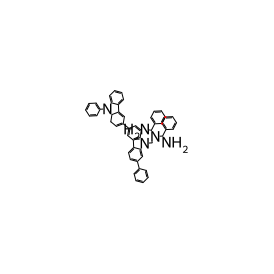 NC(c1ccccc1)N(Cn1c2ccc(C3=CCC4C(=C3)c3ccccc3N4c3ccccc3)cc2c2ccc(-c3ccccc3)cc21)[C@@H](N)c1ccccc1